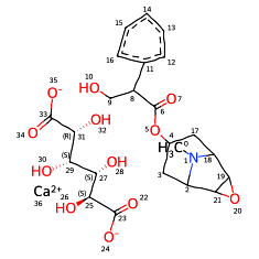 CN1C2CC(OC(=O)C(CO)c3ccccc3)CC1C1OC12.O=C([O-])[C@@H](O)[C@@H](O)[C@H](O)[C@@H](O)C(=O)[O-].[Ca+2]